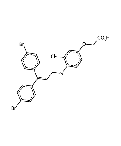 O=C(O)COc1ccc(SCC=C(c2ccc(Br)cc2)c2ccc(Br)cc2)c(Cl)c1